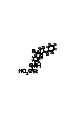 CCC(C(=O)O)C(=O)Nc1ccc2c(=O)n3c(nc2c1)/C(=C/c1ccccc1)CC3